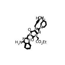 CC#CCn1c(N2CCCC(N)C2)nc2c1c(=O)n(Cc1nc(N)c3ccccc3n1)c(=O)n2CC(=O)OCC